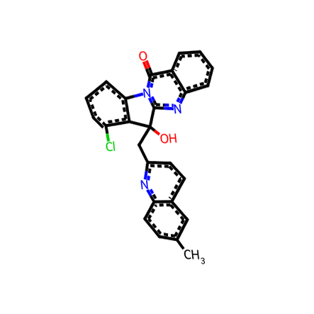 Cc1ccc2nc(CC3(O)c4c(Cl)cccc4-n4c3nc3ccccc3c4=O)ccc2c1